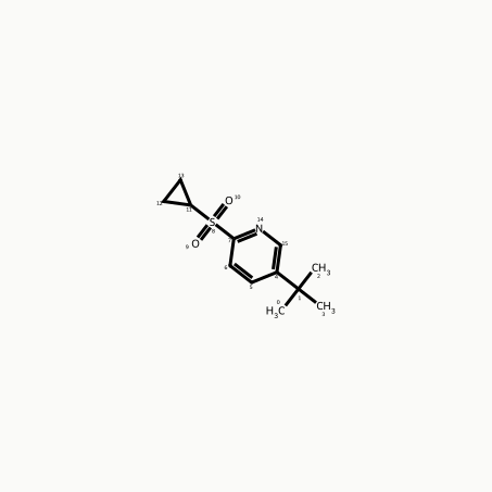 CC(C)(C)c1ccc(S(=O)(=O)C2CC2)nc1